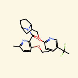 CCOc1ccc(C)nc1C(=O)N1C2CCC1C(COc1ccc(C(C)(F)F)cn1)C2